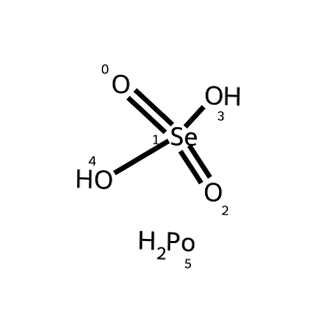 O=[Se](=O)(O)O.[PoH2]